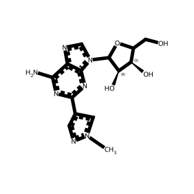 Cn1cc(-c2nc(N)c3ncn(C4OC(CO)[C@@H](O)[C@H]4O)c3n2)cn1